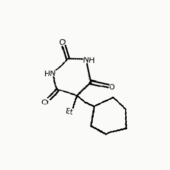 CCC1(C2CCCCC2)C(=O)NC(=O)NC1=O